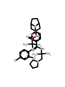 CC(C)(CN1CCCC1)NC(=O)c1ccc(N2C3CCC2CC(NC(=O)C(C)(C)Oc2ccc(Cl)cc2Cl)C3)nc1